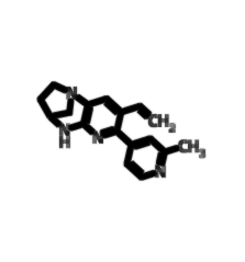 C=Cc1cc2c(nc1-c1ccnc(C)c1)NC1CCN2C1